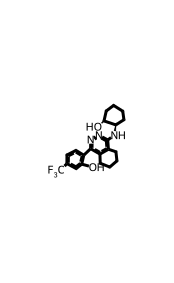 Oc1cc(C(F)(F)F)ccc1-c1nnc(N[C@@H]2CCCC[C@H]2O)c2c1CCCC2